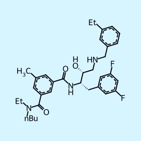 CCCCN(CC)C(=O)c1cc(C)cc(C(=O)N[C@@H](Cc2cc(F)cc(F)c2)[C@H](O)CNCc2cccc(CC)c2)c1